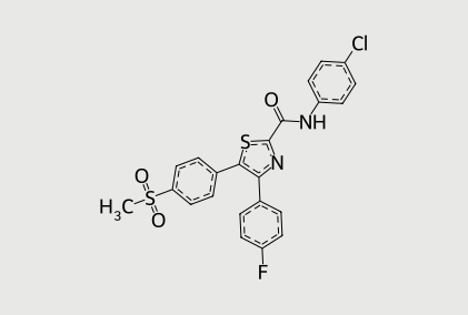 CS(=O)(=O)c1ccc(-c2sc(C(=O)Nc3ccc(Cl)cc3)nc2-c2ccc(F)cc2)cc1